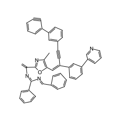 C=C(/N=C(\N=C\c1ccccc1)c1ccccc1)c1nc(C)c(/C=C(\C#Cc2cccc(-c3c#cccc3)c2)c2cccc(-c3cccnc3)c2)o1